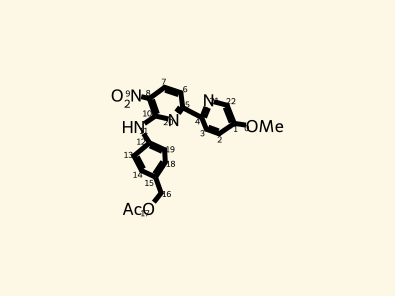 COc1ccc(-c2ccc([N+](=O)[O-])c(Nc3ccc(COC(C)=O)cc3)n2)nc1